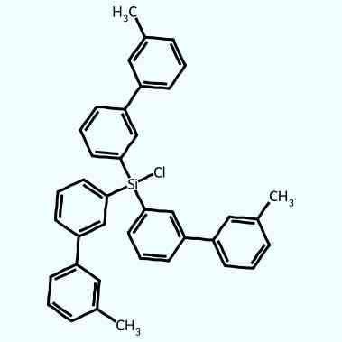 Cc1cccc(-c2cccc([Si](Cl)(c3cccc(-c4cccc(C)c4)c3)c3cccc(-c4cccc(C)c4)c3)c2)c1